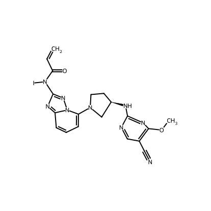 C=CC(=O)N(I)c1nc2cccc(N3CC[C@@H](Nc4ncc(C#N)c(OC)n4)C3)n2n1